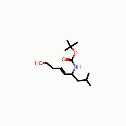 CC(C)CC(C=CCCO)NC(=O)OC(C)(C)C